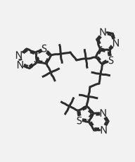 CC(C)(C)c1sc2cncnc2c1C(C)(C)CCC(C)(C)c1sc2ncncc2c1C(C)(C)CCC(C)(C)c1sc2cnncc2c1C(C)(C)C